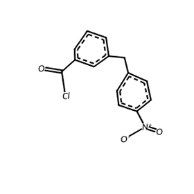 O=C(Cl)c1cccc(Cc2ccc([N+](=O)[O-])cc2)c1